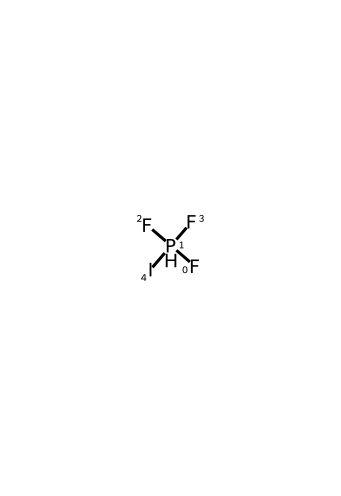 F[PH](F)(F)I